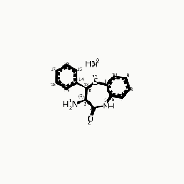 Br.N[C@@H]1C(=O)Nc2ccccc2S[C@@H]1c1ccccc1